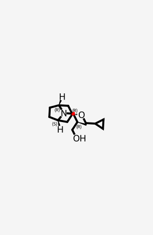 C[C@@H](CO)CN1[C@@H]2CC[C@H]1C[C@@H](OCC1CC1)C2